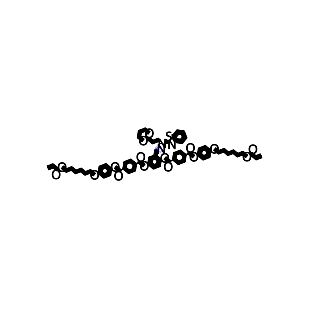 C=CC(=O)OCCCCCCOc1ccc(OC(=O)[C@H]2CC[C@H](C(=O)Oc3ccc(OC(=O)[C@H]4CC[C@H](C(=O)Oc5ccc(OCCCCCCOC(=O)C=C)cc5)CC4)c(/C=N/N(CCC4OCCCO4)c4nc5ccccc5s4)c3)CC2)cc1